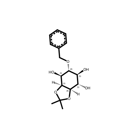 CC1(C)O[C@@H]2[C@@H](O)[C@H](O)[C@@H](OCc3ccccc3)[C@H](O)[C@@H]2O1